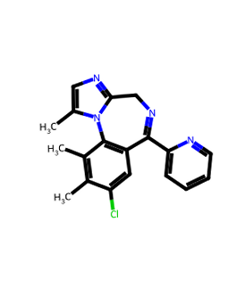 Cc1c(Cl)cc2c(c1C)-n1c(C)cnc1CN=C2c1ccccn1